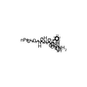 CCCOCCOCCNC(=O)CNCC(=O)C(=O)[C@H](Cc1ccccc1)NC(=O)[C@H](CC(C)C)NN